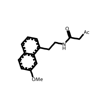 COc1ccc2cccc(CCNC(=O)CC(C)=O)c2c1